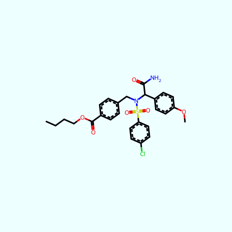 CCCCOC(=O)c1ccc(CN(C(C(N)=O)c2ccc(OC)cc2)S(=O)(=O)c2ccc(Cl)cc2)cc1